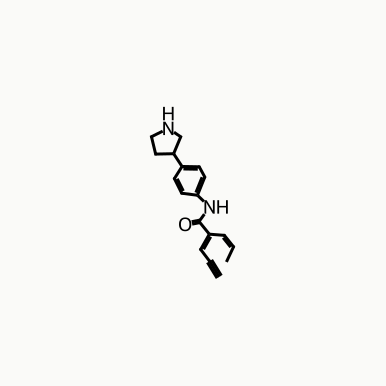 C#C/C=C(\C=C/C)C(=O)Nc1ccc(C2CCNC2)cc1